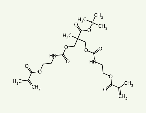 C=C(C)C(=O)OCCNC(=O)OCC(C)(COC(=O)NCCOC(=O)C(=C)C)C(=O)O[Si](C)(C)C